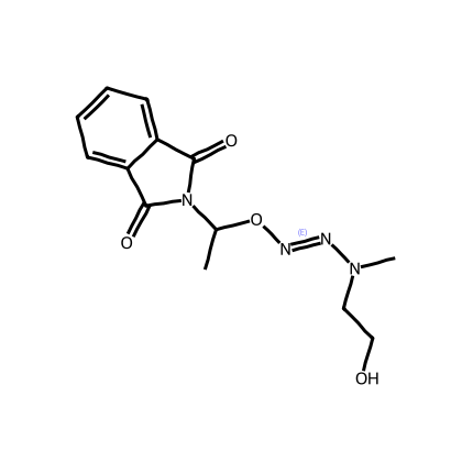 CC(O/N=N/N(C)CCO)N1C(=O)c2ccccc2C1=O